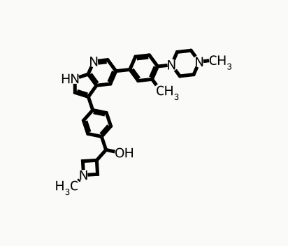 Cc1cc(-c2cnc3[nH]cc(-c4ccc(C(O)C5CN(C)C5)cc4)c3c2)ccc1N1CCN(C)CC1